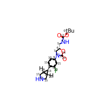 CC(C)(C)OC(=O)NC[C@H]1CN(c2ccc([C@H]3[C@@H]4CNC[C@@H]43)c(F)c2)C(=O)O1